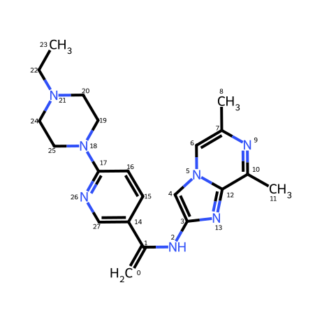 C=C(Nc1cn2cc(C)nc(C)c2n1)c1ccc(N2CCN(CC)CC2)nc1